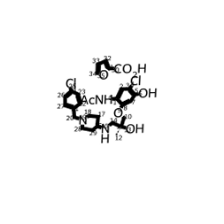 CC(=O)Nc1cc(Cl)c(O)cc1OC[C@@](C)(O)CNC1CCN(Cc2ccc(Cl)cc2)CC1.O=C(O)c1ccco1